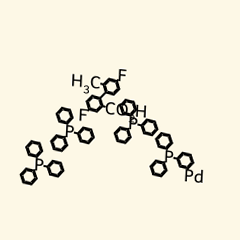 Cc1cc(F)ccc1-c1ccc(F)cc1C(=O)O.[Pd].c1ccc(P(c2ccccc2)c2ccccc2)cc1.c1ccc(P(c2ccccc2)c2ccccc2)cc1.c1ccc(P(c2ccccc2)c2ccccc2)cc1.c1ccc(P(c2ccccc2)c2ccccc2)cc1